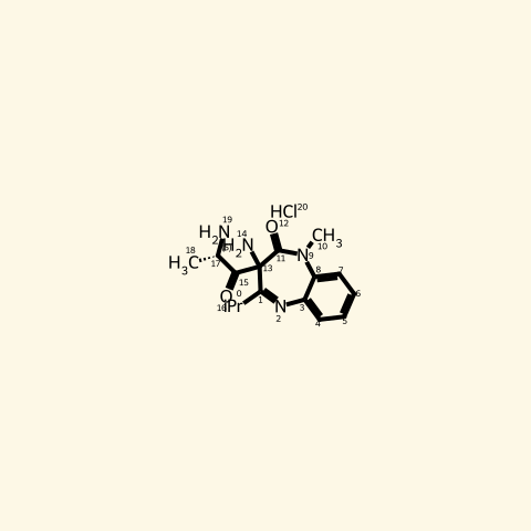 CC(C)C1=Nc2ccccc2N(C)C(=O)C1(N)C(=O)[C@H](C)N.Cl